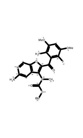 COc1cc(OC)c(P)c(C(=O)c2oc3cnc(N)cc3c2N(C)C(=O)OC(C)(C)C)c1F